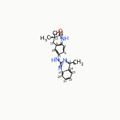 Cc1nc(Nc2ccc3c(c2)CC(C)(C)C(=O)N3)nc2ccccc12